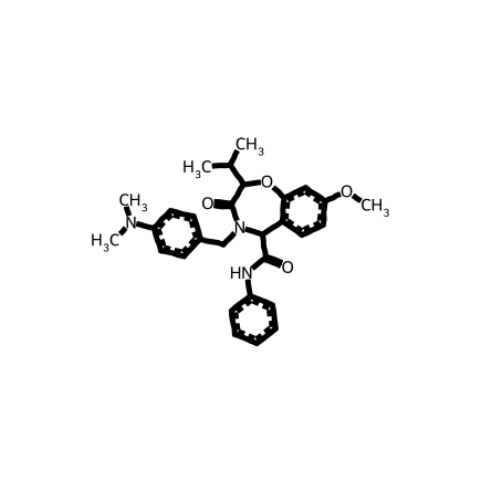 COc1ccc2c(c1)OC(C(C)C)C(=O)N(Cc1ccc(N(C)C)cc1)C2C(=O)Nc1ccccc1